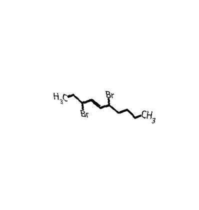 CCCCC(Br)C=CC(Br)CC